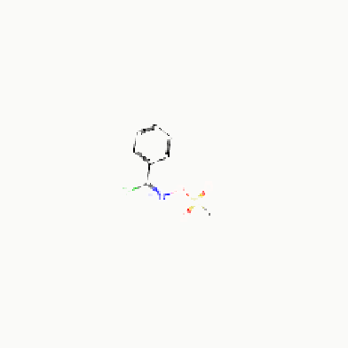 CS(=O)(=O)O/N=C(/Cl)c1ccccc1